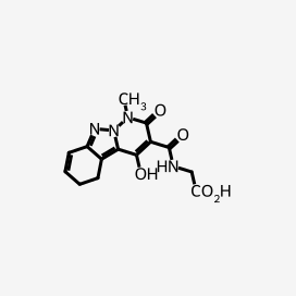 Cn1c(=O)c(C(=O)NCC(=O)O)c(O)c2c3c(nn21)C=CCC3